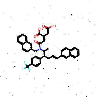 CC(C(C/C=C/c1ccc2ccccc2c1)c1ccc(C(F)(F)F)cc1)N(Cc1ccc2ccccc2c1)C(=O)CC(CC(=O)O)C(=O)O